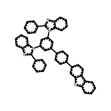 c1ccc(-c2nc3ccccc3n2-c2cc(-c3ccc(-c4ccc5c(c4)oc4ccccc45)cc3)cc(-n3c(-c4ccccc4)nc4ccccc43)c2)cc1